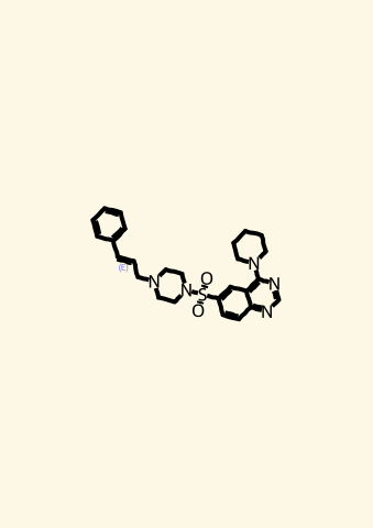 O=S(=O)(c1ccc2ncnc(N3CCCCC3)c2c1)N1CCN(C/C=C/c2ccccc2)CC1